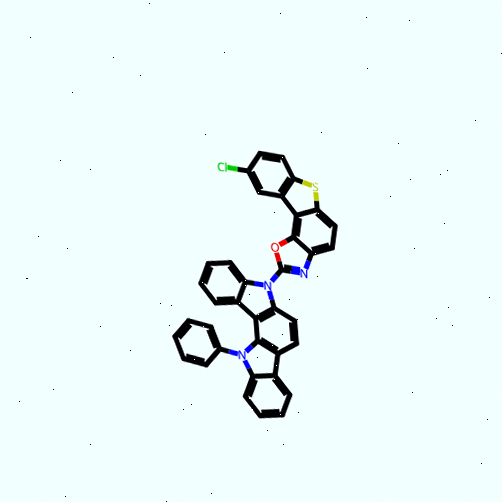 Clc1ccc2sc3ccc4nc(-n5c6ccccc6c6c5ccc5c7ccccc7n(-c7ccccc7)c56)oc4c3c2c1